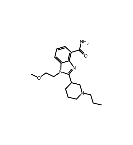 CCCN1CCCC(c2nc3c(C(N)=O)cccc3n2CCOC)C1